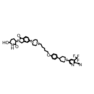 N#Cc1ncc(N2CCC(c3ccc(OCCCCCN4CCN(c5ccc6c(c5)CN(C5CCC(O)NC5=O)C6=O)CC4)cc3)CC2)cc1C(F)(F)F